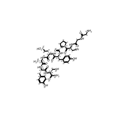 CC(C)C[C@H](NC(=O)CNC(=O)CN)C(=O)N1CCC[C@H]1C(=O)N[C@@H](Cc1ccc(O)cc1)C(=O)N[C@@H](CCC(=O)O)C(=O)N[C@@H](C)C(=O)N[C@@H](Cc1ccc(O)cc1)C(=O)N[C@@H](CS)C(N)=O